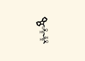 CC(=O)NNCCNC(=O)OCC1c2ccccc2-c2ccccc21